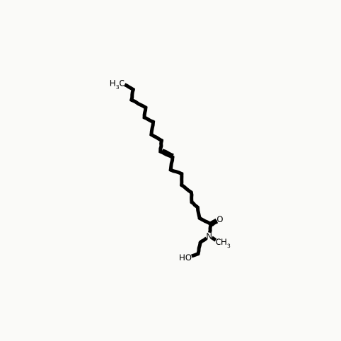 CCCCCCCCC=CCCCCCCCC(=O)N(C)CCO